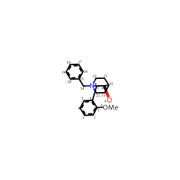 COc1ccccc1C1C(=O)C2CC[N+]1(Cc1ccccc1)CC2